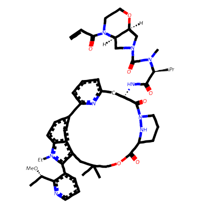 C=CC(=O)N1CCO[C@H]2CN(C(=O)N(C)[C@H](C(=O)N[C@H]3Cc4cccc(n4)-c4ccc5c(c4)c(c(-c4cccnc4[C@H](C)OC)n5CC)CC(C)(C)COC(=O)C4CCCN(N4)C3=O)C(C)C)C[C@H]21